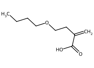 C=C(CCOCCCC)C(=O)O